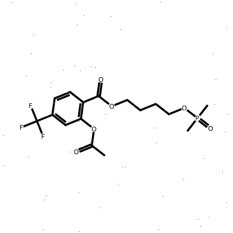 CC(=O)Oc1cc(C(F)(F)F)ccc1C(=O)OCCCCOP(C)(C)=O